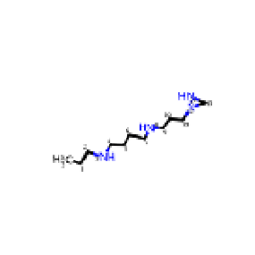 CCCNCCCCNCCCN1CN1